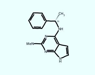 CNc1nc(N[C@@H](C)c2ccccc2)c2cc[nH]c2n1